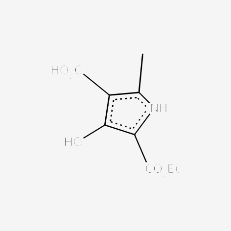 CCOC(=O)c1[nH]c(C)c(C(=O)O)c1O